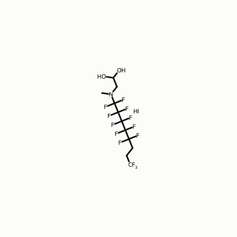 CN(CC(O)O)C(F)(F)C(F)(F)C(F)(F)C(F)(F)C(F)(F)CCC(F)(F)F.I